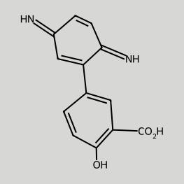 N=C1C=CC(=N)C(c2ccc(O)c(C(=O)O)c2)=C1